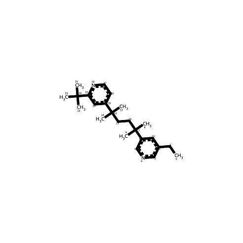 CCc1cncc(C(C)(C)CCC(C)(C)c2ccnc(C(C)(C)C)c2)c1